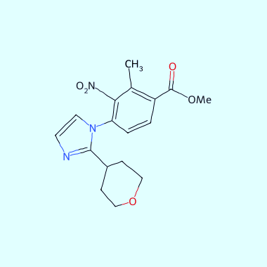 COC(=O)c1ccc(-n2ccnc2C2CCOCC2)c([N+](=O)[O-])c1C